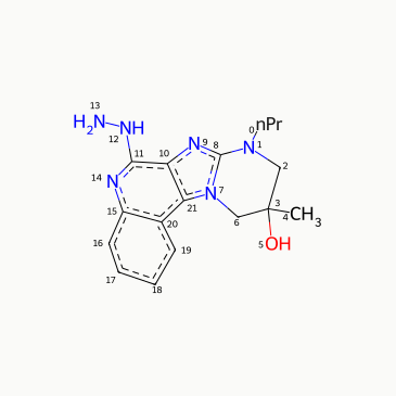 CCCN1CC(C)(O)Cn2c1nc1c(NN)nc3ccccc3c12